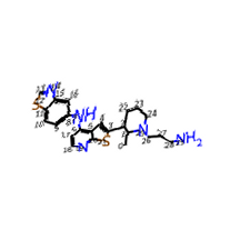 CC1C(c2cc3c(Nc4ccc5scnc5c4)ccnc3s2)CCCN1CCCN